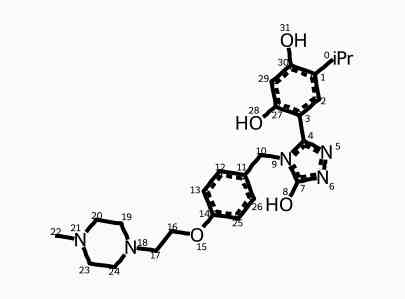 CC(C)c1cc(-c2nnc(O)n2Cc2ccc(OCCN3CCN(C)CC3)cc2)c(O)cc1O